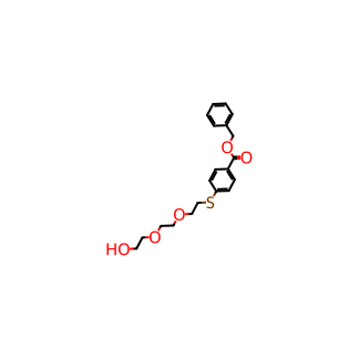 O=C(OCc1ccccc1)c1ccc(SCCOCCOCCO)cc1